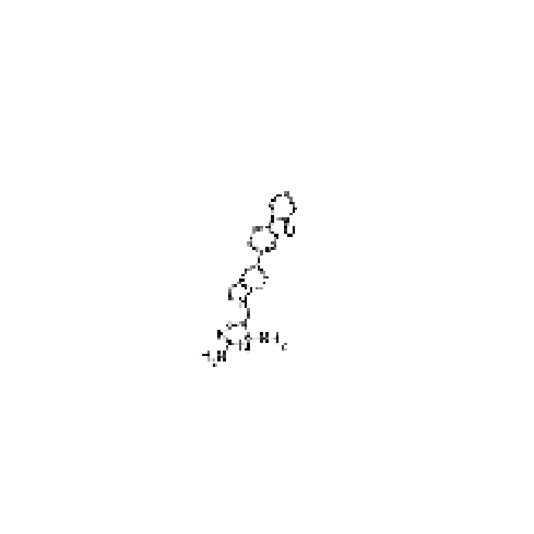 Nc1ncc(CN2CCc3cc(-c4ccc5c(c4)oc4ccccc45)ccc32)c(N)n1